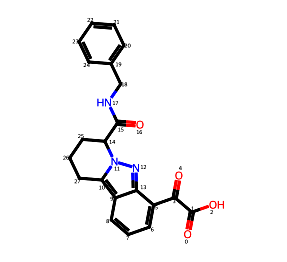 O=C(O)C(=O)c1cccc2c3n(nc12)C(C(=O)NCc1ccccc1)CCC3